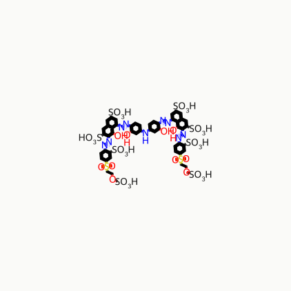 O=S(=O)(O)OCCS(=O)(=O)c1ccc(/N=N/c2c(S(=O)(=O)O)cc3cc(S(=O)(=O)O)cc(/N=N/c4ccc(Nc5ccc(/N=N/c6cc(S(=O)(=O)O)cc7cc(S(=O)(=O)O)c(/N=N/c8ccc(S(=O)(=O)CCOS(=O)(=O)O)cc8S(=O)(=O)O)c(O)c67)c(O)c5)cc4O)c3c2O)c(S(=O)(=O)O)c1